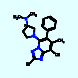 CCc1nc2c(C#N)c(C)c(-c3ccccc3)c(N3CC[C@H](N(C)C)C3)n2n1